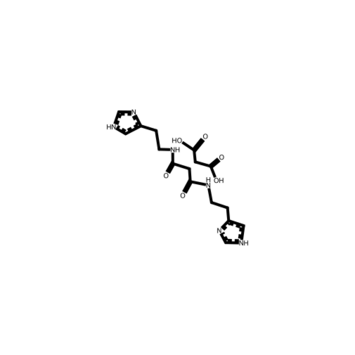 O=C(CC(=O)NCCc1c[nH]cn1)NCCc1c[nH]cn1.O=C(O)CC(=O)O